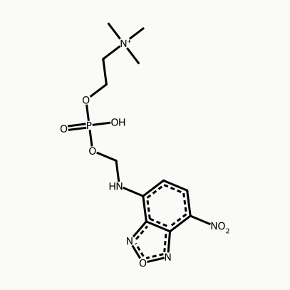 C[N+](C)(C)CCOP(=O)(O)OCNc1ccc([N+](=O)[O-])c2nonc12